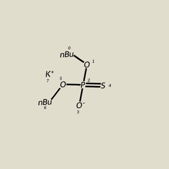 CCCCOP([O-])(=S)OCCCC.[K+]